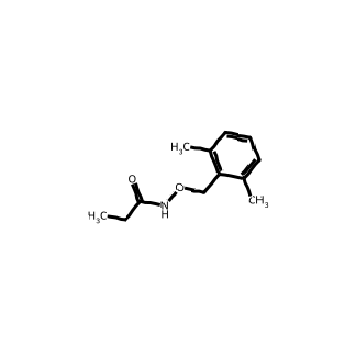 CCC(=O)NOCc1c(C)cccc1C